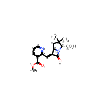 CCCOC(=O)c1cccnc1/C=C1/C(=O)N2C1CC(C)(C)[C@@H]2C(=O)O